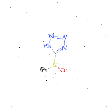 CC(C)[S+]([O-])c1nnn[nH]1